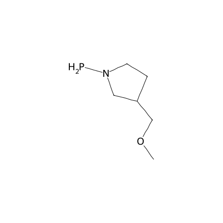 COCC1CCN(P)C1